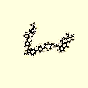 Cc1cc(-c2n[nH]c3ncc(-c4ccc(N5CCN(CCOc6cccc7c6C(=O)N([C@@H]6CCC(=O)NC6=O)C7)CC5)cc4)cc23)ccc1C(C)NC(=O)c1nc(C(C)(C)C)no1